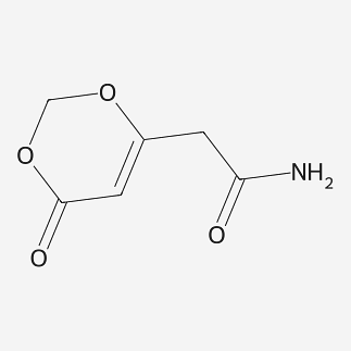 NC(=O)CC1=CC(=O)OCO1